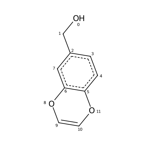 OCc1ccc2c(c1)OC=CO2